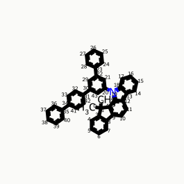 CC1(C)c2ccccc2-c2ccc3c4ccccc4n(-c4cc(-c5ccccc5)cc(-c5ccc(-c6ccccc6)cc5)c4)c3c21